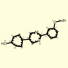 CCCOc1cccc(-c2ncc(-c3ccc(O)cc3)cn2)c1